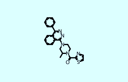 CC1CN(c2nnc(-c3ccccc3)c3ccccc23)CCN1C(=O)c1nccs1